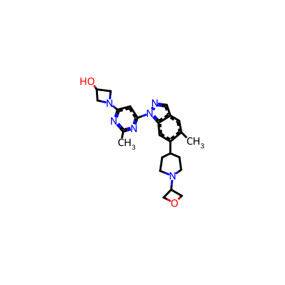 Cc1nc(N2CC(O)C2)cc(-n2ncc3cc(C)c(C4CCN(C5COC5)CC4)cc32)n1